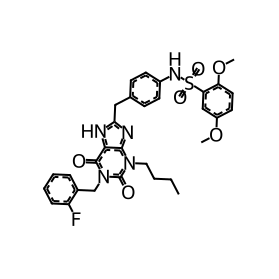 CCCCn1c(=O)n(Cc2ccccc2F)c(=O)c2[nH]c(Cc3ccc(NS(=O)(=O)c4cc(OC)ccc4OC)cc3)nc21